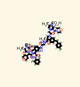 C[C@@H]1COCCN1C[C@H]1CN(C(=O)O)[C@H](C)CN1CC(=O)N1C[C@@](C)(C(=O)NCC(=O)Nc2ccc3c(c2)[C@@H](C(=O)Nc2c(F)cccc2F)N(C(=O)[C@@H](NC(=O)[C@H](C)N(C)C(=O)OC(C)(C)C)C2CCOCC2)C3)c2ccc(Cc3ccc(F)cc3)cc21